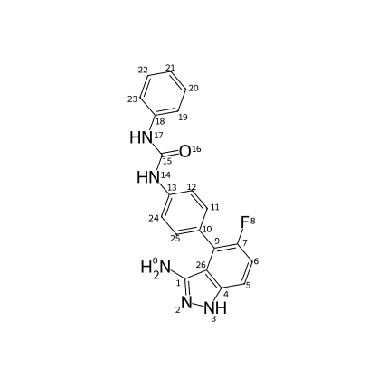 Nc1n[nH]c2ccc(F)c(-c3ccc(NC(=O)Nc4ccccc4)cc3)c12